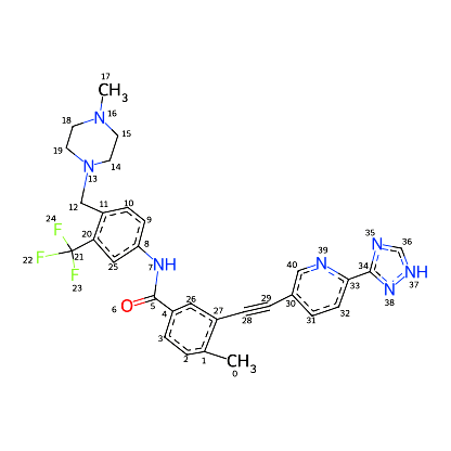 Cc1ccc(C(=O)Nc2ccc(CN3CCN(C)CC3)c(C(F)(F)F)c2)cc1C#Cc1ccc(-c2nc[nH]n2)nc1